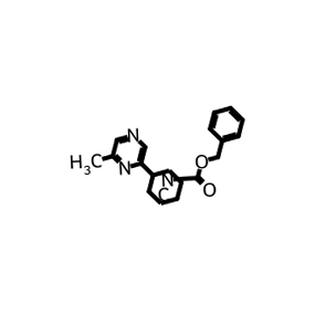 Cc1cncc(C2CC3CCC2N(C(=O)OCc2ccccc2)C3)n1